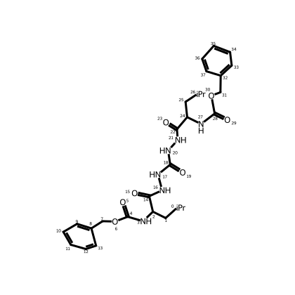 CC(C)CC(NC(=O)OCc1ccccc1)C(=O)NNC(=O)NNC(=O)C(CC(C)C)NC(=O)OCc1ccccc1